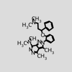 Cc1nnc(N(C)C)c2nn(-c3ccccc3OC(CCN(C)C)c3ccccc3)c(C)c12